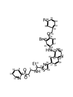 CCC(NCCS(=O)(=O)c1ccccn1)c1nc(-c2ccc3ncnc(Nc4ccc(OCc5cccc(F)c5)c(Br)c4)c3c2)cs1